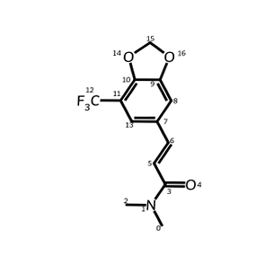 CN(C)C(=O)/C=C/c1cc2c(c(C(F)(F)F)c1)OCO2